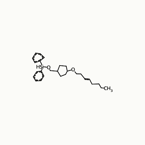 CCCCC=CCCOC1CCC(CO[SiH](c2ccccc2)c2ccccc2)CC1